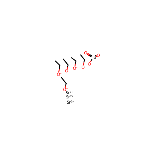 CC[O-].CC[O-].CC[O-].CC[O-].CC[O-].[O]=[Ta](=[O])[O-].[Sr+2].[Sr+2].[Sr+2]